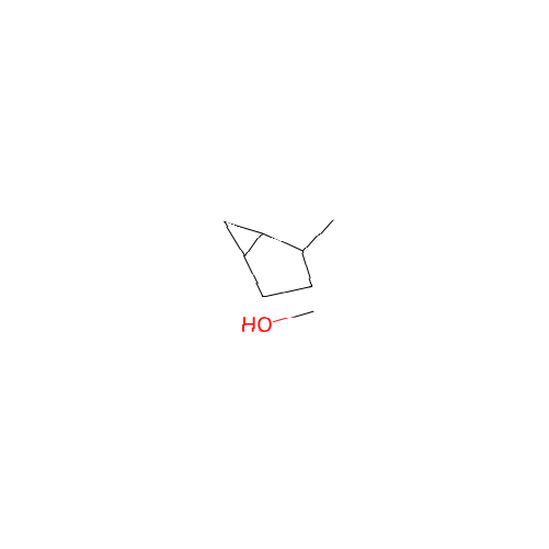 CC1CCC2CC12.CO